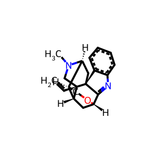 C=C[C@@]12CN(C)[C@H]3C[C@]14C(=Nc1ccccc14)[C@@H]1C[C@@H]2[C@@H]3CO1